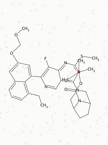 CCc1cccc2cc(OCOC)cc(-c3ncc4c(N5CC6CCC(C5)N6C(=O)OC(C)(C)C)nc(SC)nc4c3F)c12